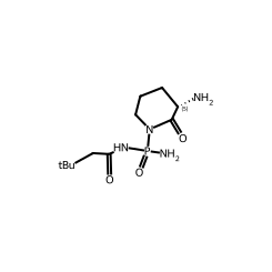 CC(C)(C)CC(=O)NP(N)(=O)N1CCC[C@H](N)C1=O